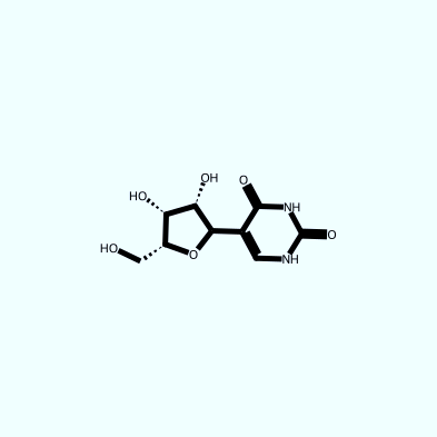 O=c1[nH]cc(C2O[C@H](CO)[C@H](O)[C@@H]2O)c(=O)[nH]1